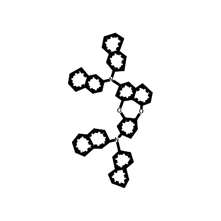 c1ccc2cc(N(c3ccc4c(c3)Oc3cc(N(c5ccc6ccccc6c5)c5ccc6ccccc6c5)cc5cccc(c35)O4)c3ccc4ccccc4c3)ccc2c1